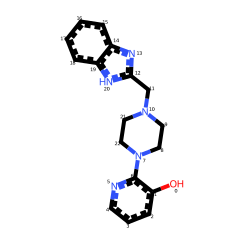 Oc1cccnc1N1CCN(Cc2nc3ccccc3[nH]2)CC1